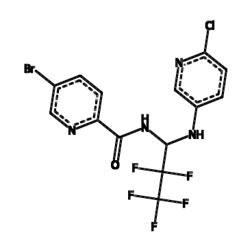 O=C(NC(Nc1ccc(Cl)nc1)C(F)(F)C(F)(F)F)c1ccc(Br)cn1